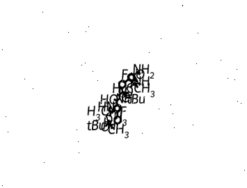 Cc1[nH]c2c(C(N)=O)cc(F)c(C3=CCC[C@H](N(CNC(O)c4cc(F)c(C5=C[C@@H](N(C)C(=O)OC(C)(C)C)CCC5)c5c(C)c(C)[nH]c45)C(=O)OC(C)(C)C)C3)c2c1C